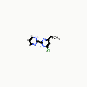 CCc1cc(Cl)nc(-c2ncccn2)n1